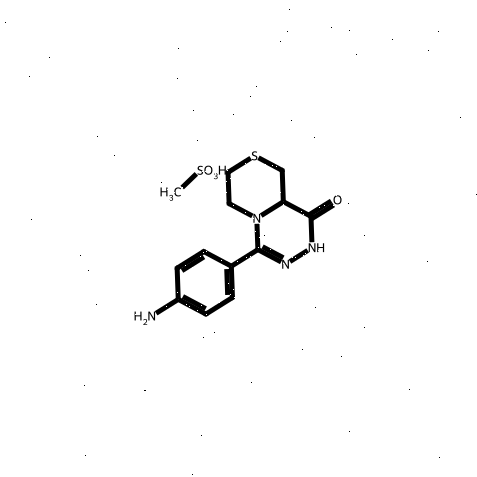 CS(=O)(=O)O.Nc1ccc(C2=NNC(=O)C3CSCCN23)cc1